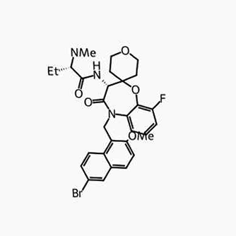 CC[C@H](NC)C(=O)N[C@H]1C(=O)N(Cc2c(OC)ccc3cc(Br)ccc23)c2cccc(F)c2OC12CCOCC2